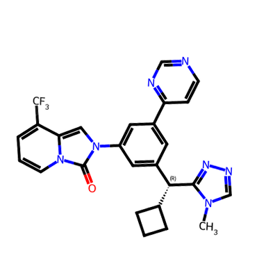 Cn1cnnc1[C@@H](c1cc(-c2ccncn2)cc(-n2cc3c(C(F)(F)F)cccn3c2=O)c1)C1CCC1